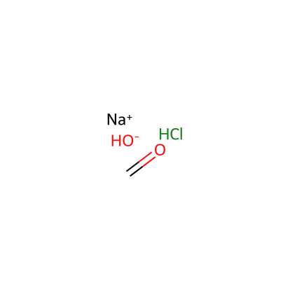 C=O.Cl.[Na+].[OH-]